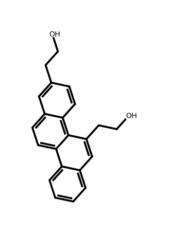 OCCc1ccc2c(ccc3c4ccccc4cc(CCO)c23)c1